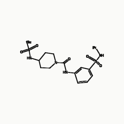 CC(C)NS(=O)(=O)c1cccc(NC(=O)N2CCC(NS(=O)(=O)C(C)(C)C)CC2)c1